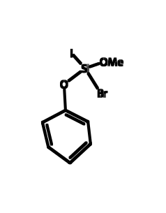 CO[Si](Br)(I)Oc1ccccc1